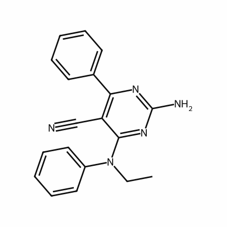 CCN(c1ccccc1)c1nc(N)nc(-c2ccccc2)c1C#N